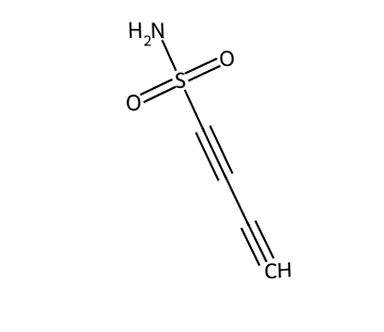 C#CC#CS(N)(=O)=O